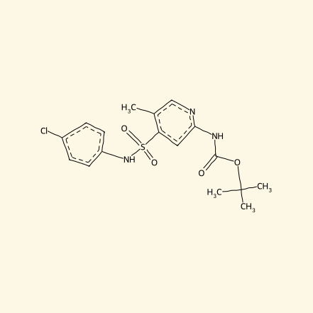 Cc1cnc(NC(=O)OC(C)(C)C)cc1S(=O)(=O)Nc1ccc(Cl)cc1